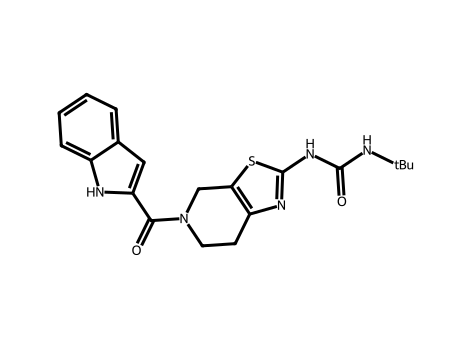 CC(C)(C)NC(=O)Nc1nc2c(s1)CN(C(=O)c1cc3ccccc3[nH]1)CC2